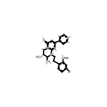 COc1cc(F)ccc1CCN1c2nc(-c3ccncc3)cc(=O)n2CCC1C.Cl